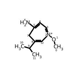 CO[N+]1=CC=C(N)CC(C(C)C)=C1